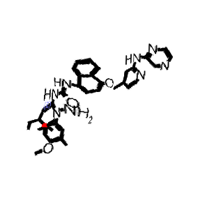 CCC(/C=C(/NC(=O)Nc1ccc(OCc2ccnc(Nc3cnccn3)c2)c2ccccc12)N(N)c1ccc(OC)c(C)c1)C(C)(C)C